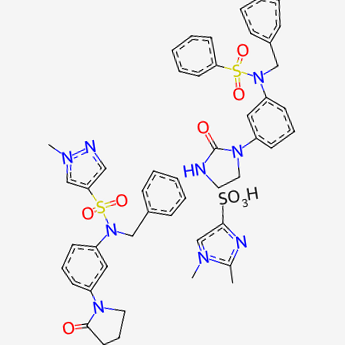 Cc1nc(S(=O)(=O)O)cn1C.Cn1cc(S(=O)(=O)N(Cc2ccccc2)c2cccc(N3CCCC3=O)c2)cn1.O=C1NCCN1c1cccc(N(Cc2ccccc2)S(=O)(=O)c2ccccc2)c1